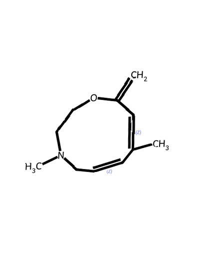 C=C1/C=C(C)\C=C/CN(C)CCO1